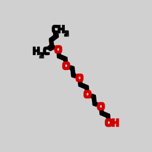 C=CCC(=C)OCCOCCOCCOCCOCCO